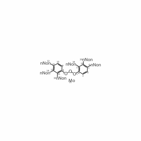 CCCCCCCCCc1ccc(OOOc2ccc(CCCCCCCCC)c(CCCCCCCCC)c2CCCCCCCCC)c(CCCCCCCCC)c1CCCCCCCCC.[Mo]